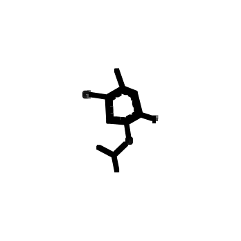 Cc1cc(F)c(OC(C)C)cc1Cl